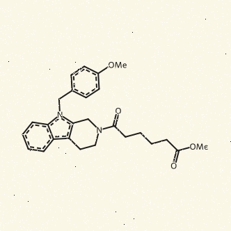 COC(=O)CCCCC(=O)N1CCc2c(n(Cc3ccc(OC)cc3)c3ccccc23)C1